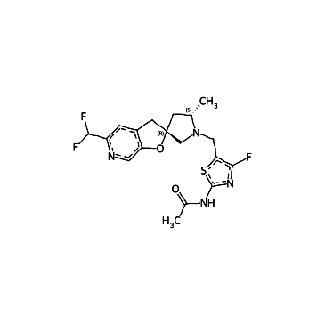 CC(=O)Nc1nc(F)c(CN2C[C@@]3(Cc4cc(C(F)F)ncc4O3)C[C@@H]2C)s1